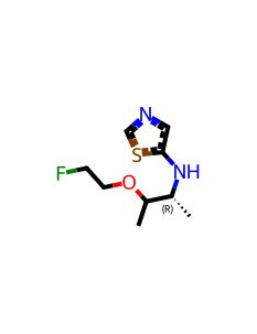 CC(OCCF)[C@@H](C)Nc1cncs1